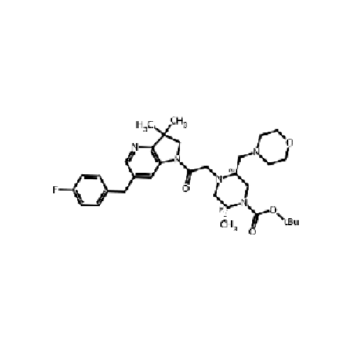 C[C@@H]1CN(CC(=O)N2CC(C)(C)c3ncc(Cc4ccc(F)cc4)cc32)[C@@H](CN2CCOCC2)CN1C(=O)OC(C)(C)C